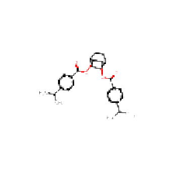 CC(C)c1ccc(C(=O)OC2C3CCC(CC3)C2OC(=O)c2ccc(C(C)C)cc2)cc1